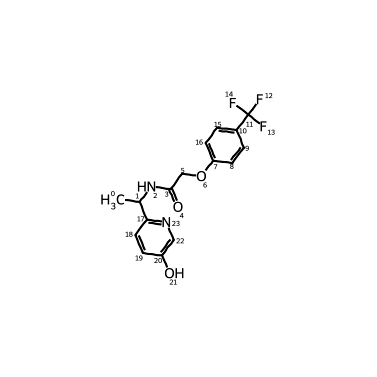 CC(NC(=O)COc1ccc(C(F)(F)F)cc1)c1ccc(O)cn1